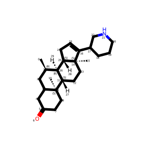 C[C@@H]1CC2CC(=O)CC[C@]2(C)[C@H]2CC[C@]3(C)C(C4CCCNC4)=CC[C@H]3[C@H]12